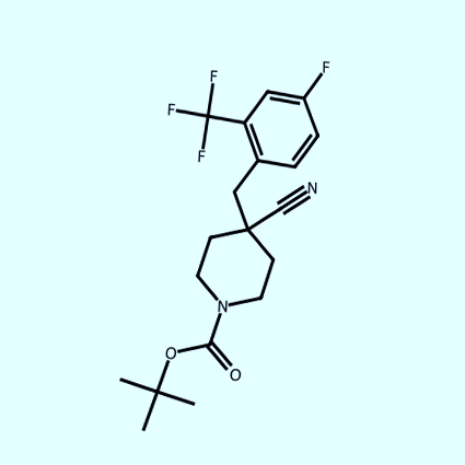 CC(C)(C)OC(=O)N1CCC(C#N)(Cc2ccc(F)cc2C(F)(F)F)CC1